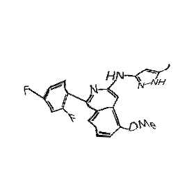 COc1cccc2c(-c3ccc(F)cc3F)nc(Nc3cc(C)[nH]n3)cc12